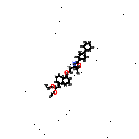 CCOC(CC1=CCCc2c(OCCc3nc(-c4ccc(C5CCCCC5)cc4)oc3C)cccc21)OCC